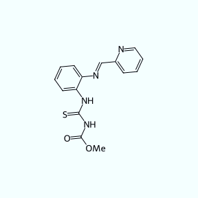 COC(=O)NC(=S)Nc1ccccc1N=Cc1ccccn1